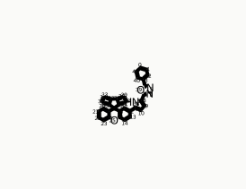 c1ccc(-c2nnc(-c3ccc(-c4ccc5c(c4)C4(c6ccccc6O5)c5ccccc5-c5ccccc54)[nH]3)o2)cc1